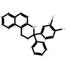 Fc1ccc(C2(c3ccccc3)CCc3c(ccc4ccccc34)O2)cc1F